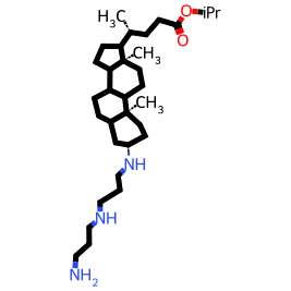 CC(C)OC(=O)CC[C@@H](C)C1CCC2C3CCC4C[C@@H](NCCCNCCCN)CC[C@]4(C)C3CC[C@@]21C